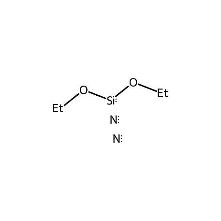 CCO[Si]OCC.[N].[N]